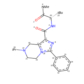 CNC(=O)[C@@H](NC(=O)c1nc(-c2ccccc2)n2c1CN(C(C)C)CC2)C(C)(C)C